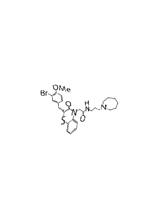 COc1ccc(/C=C2/Sc3ccccc3N(CC(=O)NCCCN3CCCCCC3)C2=O)cc1Br